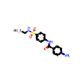 Nc1ccc(C(=O)Nc2ccc(S(=O)(=O)NCC(=O)O)cc2)cc1